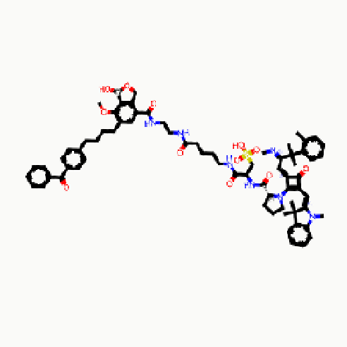 C/N=C(\C=C1/C(=O)C(/C=C2/N(C)c3ccccc3C2(C)C)=C1N1CCC[C@@H]1C(=O)NC(CS(=O)(=O)O)C(=O)NCCCCC(=O)NCCNC(=O)c1cc(CCCCc2ccc(C(=O)c3ccccc3)cc2)c(OC)c2c1COB2O)C(C)(C)c1ccccc1C